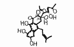 CC(=O)C=C(O)C[C@]1(O)Cc2c(c(O)c3c(O)cc(O)cc3c2CC=C(C)C)C(=O)[C@H]1OC(C)=O